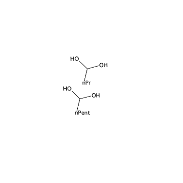 CCCC(O)O.CCCCCC(O)O